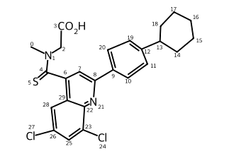 CN(CC(=O)O)C(=S)c1cc(-c2ccc(C3CCCCC3)cc2)nc2c(Cl)cc(Cl)cc12